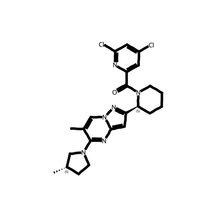 Cc1cn2nc([C@@H]3CCCCN3C(=O)c3cc(Cl)cc(Cl)n3)cc2nc1N1CC[C@H](C)C1